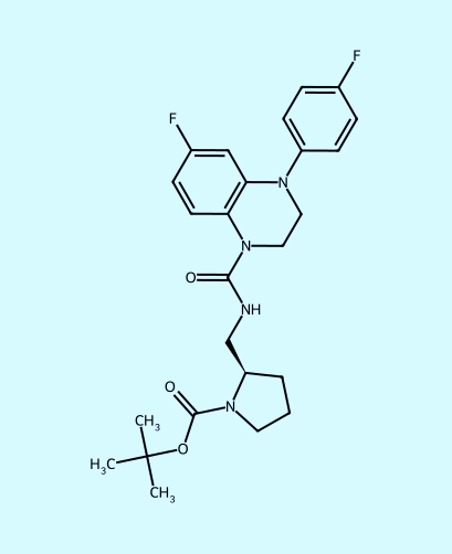 CC(C)(C)OC(=O)N1CCC[C@@H]1CNC(=O)N1CCN(c2ccc(F)cc2)c2cc(F)ccc21